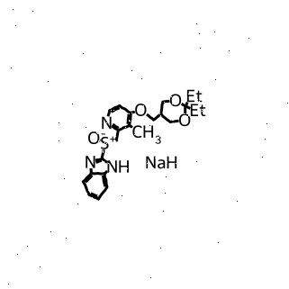 CCC1(CC)OCC(COc2ccnc(C[S+]([O-])c3nc4ccccc4[nH]3)c2C)CO1.[NaH]